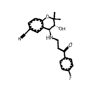 CC1(C)Oc2ccc(C#N)cc2[C@H](NCCC(=O)c2ccc(F)cc2)[C@H]1O